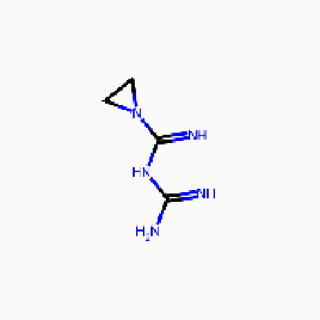 N=C(N)NC(=N)N1CC1